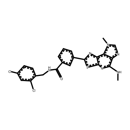 CNc1nc2sc(-c3cccc(C(=O)NCc4ccc(Cl)cc4Cl)c3)nc2c2c1ncn2C